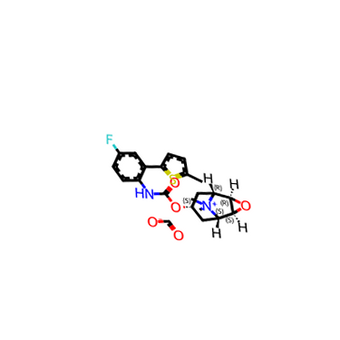 Cc1ccc(-c2cc(F)ccc2NC(=O)O[C@@H]2C[C@@H]3[C@H]4O[C@H]4[C@H](C2)[N+]3(C)C)s1.O=C[O-]